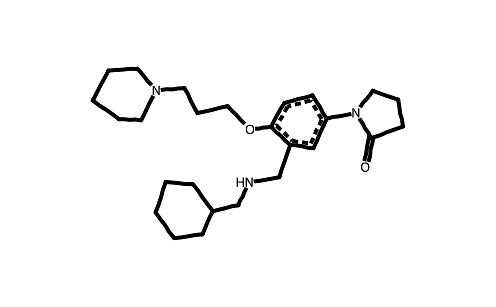 O=C1CCCN1c1ccc(OCCCN2CCCCC2)c(CNCC2CCCCC2)c1